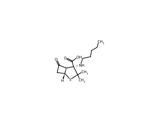 CCCCCN[C@@]1(C(=O)O)N2C(=O)C[C@H]2SC1(C)C